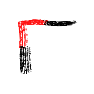 [O-2].[O-2].[O-2].[O-2].[O-2].[O-2].[O-2].[O-2].[O-2].[O-2].[O-2].[O-2].[O-2].[O-2].[O-2].[O-2].[O-2].[O-2].[O-2].[O-2].[O-2].[O-2].[O-2].[O-2].[O-2].[O-2].[O-2].[O-2].[O-2].[O-2].[O-2].[O-2].[O-2].[O-2].[O-2].[O-2].[O-2].[O-2].[O-2].[O-2].[Zn+2].[Zn+2].[Zn+2].[Zn+2].[Zn+2].[Zn+2].[Zn+2].[Zn+2].[Zn+2].[Zn+2].[Zn+2].[Zn+2].[Zn+2].[Zn+2].[Zn+2].[Zn+2].[Zn+2].[Zn+2].[Zn+2].[Zn+2].[Zn+2].[Zn+2].[Zn+2].[Zn+2].[Zn+2].[Zn+2].[Zn+2].[Zn+2].[Zn+2].[Zn+2].[Zn+2].[Zn+2].[Zn+2].[Zn+2].[Zn+2].[Zn+2].[Zn+2].[Zn+2].[Zn+2]